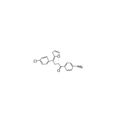 N#Cc1ccc(C(=O)CCC(=C2CC=CO2)c2ccc(Cl)cc2)cc1